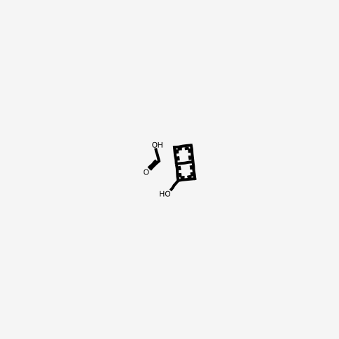 O=CO.Oc1cc2ccc1-2